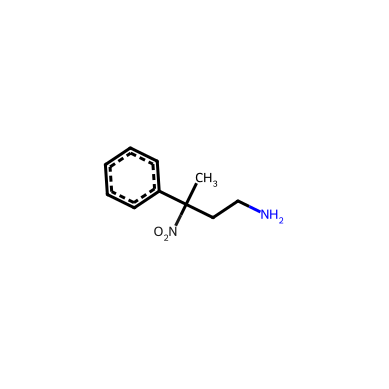 CC(CCN)(c1ccccc1)[N+](=O)[O-]